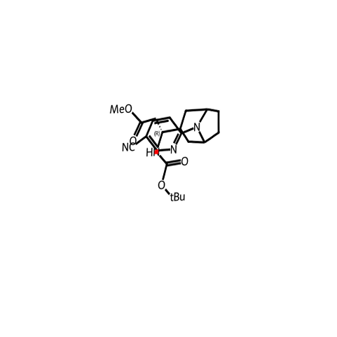 COC(=O)C[C@@H](NC(=O)OC(C)(C)C)C1CC2CCC(C1)N2c1ccc(C#N)cn1